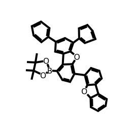 CC1(C)OB(c2ccc(-c3cccc4c3oc3ccccc34)c3oc4c(-c5ccccc5)cc(-c5ccccc5)cc4c23)OC1(C)C